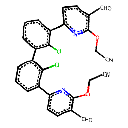 N#CCOc1nc(-c2cccc(-c3cccc(-c4ccc(C=O)c(OCC#N)n4)c3Cl)c2Cl)ccc1C=O